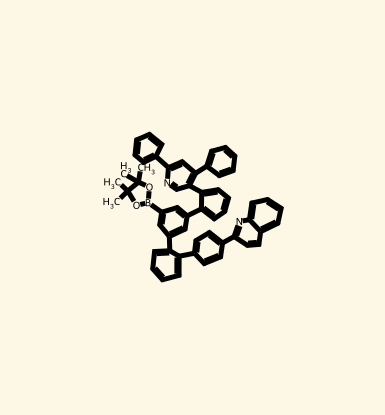 CC1(C)OB(c2cc(-c3ccccc3-c3ccc(-c4ccc5ccccc5n4)cc3)cc(-c3ccccc3-c3cnc(-c4ccccc4)cc3-c3ccccc3)c2)OC1(C)C